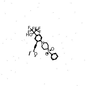 CC[C@H](C#Cc1cc(C(O)(C(F)(F)F)C(F)(F)F)ccc1N1CCC(S(=O)(=O)c2ccccc2)CC1)OC